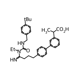 CCN(C(=N)CCCc1ccc(-c2cccc(C(C)C(=O)O)c2)cc1)C(=O)NCc1ccc(C(C)(C)C)cc1